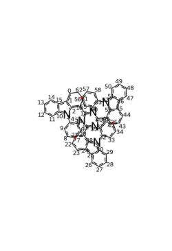 C1=c2c(n(-c3ccccc3)c3ccccc23)=C(c2nc(-c3cccc4c5ccccc5n(-c5ccccc5)c34)nc(-c3cccc4c5ccccc5n(-c5ccccc5)c34)n2)CC1